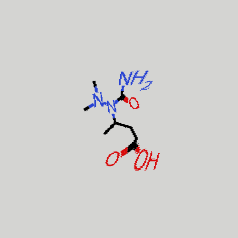 CC(CC(=O)O)N(C(N)=O)N(C)C